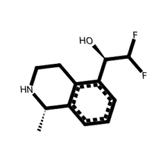 C[C@@H]1NCCc2c1cccc2[C@@H](O)C(F)F